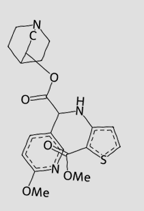 COC(=O)c1sccc1NC(C(=O)OC1CN2CCC1CC2)c1ccc(OC)nc1